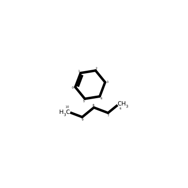 C1=CCCCC1.CCCCC